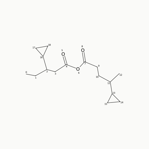 CCC(CC(=O)OC(=O)CCC(C)C1CC1)C1CC1